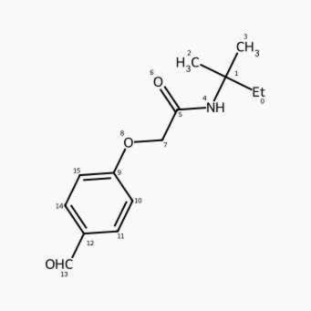 CCC(C)(C)NC(=O)COc1ccc(C=O)cc1